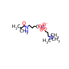 C=C(C)C(=O)NCCCCOP(=O)([O-])OCCC[N+](C)(C)C